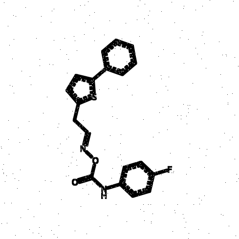 O=C(Nc1ccc(F)cc1)ON=CCc1ccc(-c2ccccc2)s1